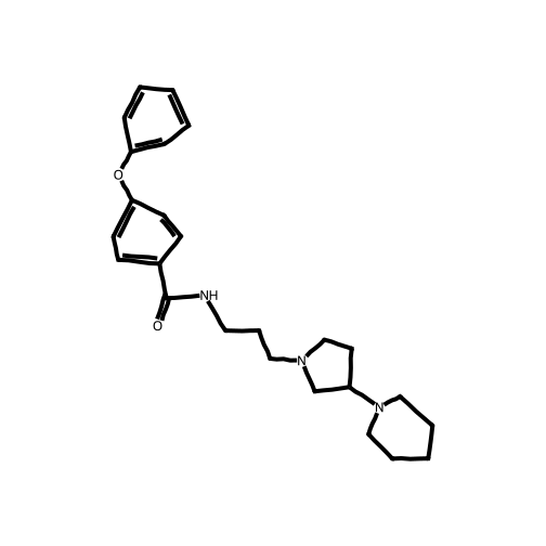 O=C(NCCCN1CCC(N2CCCCC2)C1)c1ccc(Oc2ccccc2)cc1